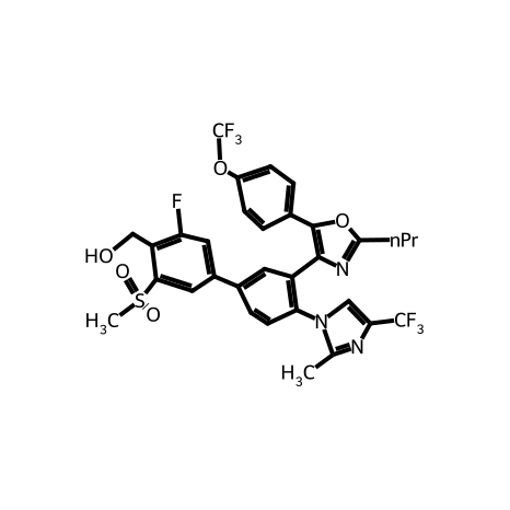 CCCc1nc(-c2cc(-c3cc(F)c(CO)c(S(C)(=O)=O)c3)ccc2-n2cc(C(F)(F)F)nc2C)c(-c2ccc(OC(F)(F)F)cc2)o1